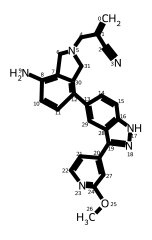 C=C(C#N)CN1Cc2c(N)ccc(-c3ccc4[nH]nc(-c5ccnc(OC)c5)c4c3)c2C1